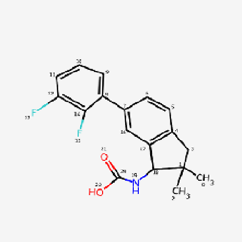 CC1(C)Cc2ccc(-c3cccc(F)c3F)cc2C1NC(=O)O